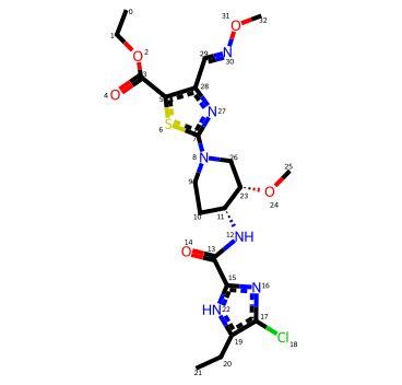 CCOC(=O)c1sc(N2CC[C@@H](NC(=O)c3nc(Cl)c(CC)[nH]3)[C@@H](OC)C2)nc1C=NOC